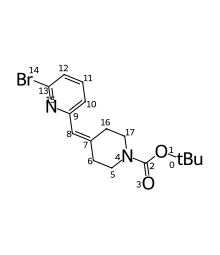 CC(C)(C)OC(=O)N1CCC(=Cc2cccc(Br)n2)CC1